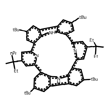 CCCC(C)(CC)c1cc2nc(c1)c1cc(C(C)(C)C)cc3c4cc(C(C)(C)C)cc(c5cc(C(C)(CC)CC)cc(n5)c5cc(C(C)(C)C)cc6c7cc(C(C)(C)C)cc2c7[nH]c56)c4[nH]c13